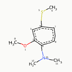 COc1cc(SC)ccc1N(C)C